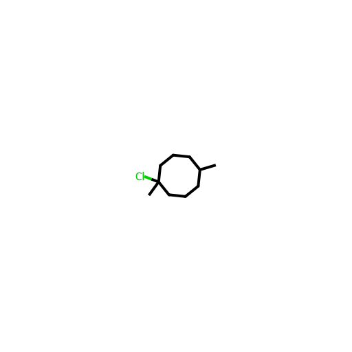 CC1CCCC(C)(Cl)CCC1